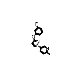 Cc1ccc(-n2ccc(Oc3cccc(F)c3)n2)cn1